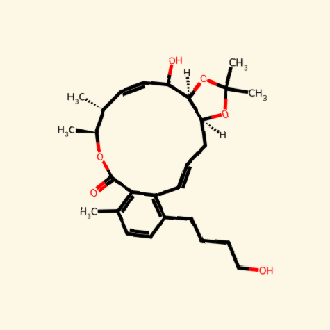 Cc1ccc(CCCCO)c2c1C(=O)O[C@@H](C)[C@H](C)/C=C\C(O)[C@H]1OC(C)(C)O[C@H]1C/C=C/2